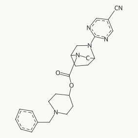 N#Cc1cnc(N2CC3CCC2CN3C(=O)OC2CCN(Cc3ccccc3)CC2)nc1